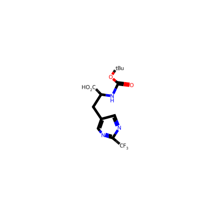 CC(C)(C)OC(=O)NC(Cc1cnc(C(F)(F)F)nc1)C(=O)O